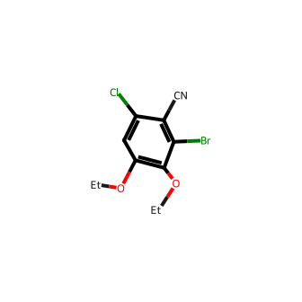 CCOc1cc(Cl)c(C#N)c(Br)c1OCC